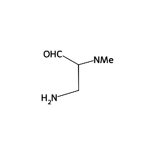 CNC(C=O)CN